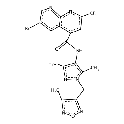 Cc1nonc1Cn1nc(C)c(NC(=O)c2cc(C(F)(F)F)nc3ncc(Br)cc23)c1C